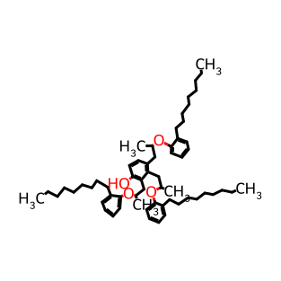 CCCCCCCCCc1ccccc1OC(C)Cc1ccc(O)c(CC(C)Oc2ccccc2CCCCCCCCC)c1CC(C)Oc1ccccc1CCCCCCCCC